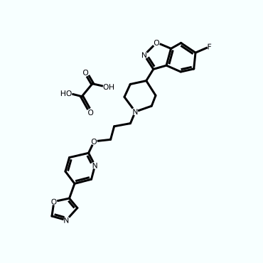 Fc1ccc2c(C3CCN(CCCOc4ccc(-c5cnco5)cn4)CC3)noc2c1.O=C(O)C(=O)O